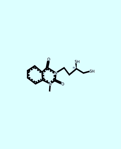 Cn1c(=O)n(CC[C@@H](S)CS)c(=O)c2ccccc21